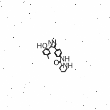 Cc1ccc(O)c(-c2nn(C)cc2-c2ccc(NC(=O)[C@@H]3CCCCN3)cc2)c1